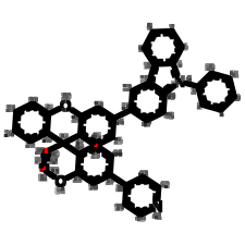 c1ccc(-n2c3ccccc3c3cc(-c4ccc5c(c4)Oc4ccccc4C54c5ccccc5Oc5cc(-c6ccncc6)ccc54)ccc32)cc1